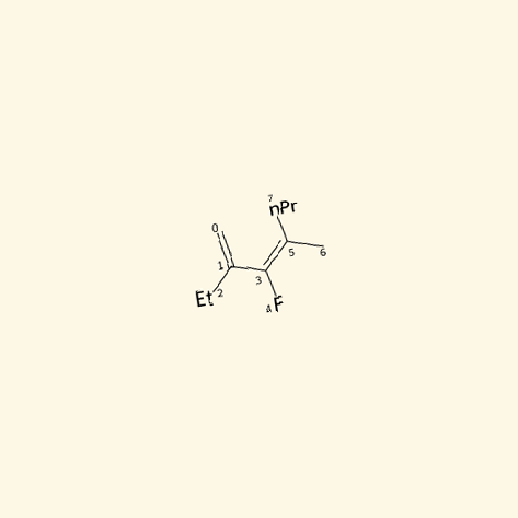 C=C(CC)/C(F)=C(/C)CCC